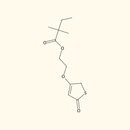 CCC(C)(C)C(=O)OCCOC1=CC(=O)SC1